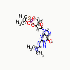 C=C(C)OP1(=S)OC[C@H]2O[C@@H](n3cnc4c(=O)[nH]c(/N=C/N(C)C)nc43)CC2O1